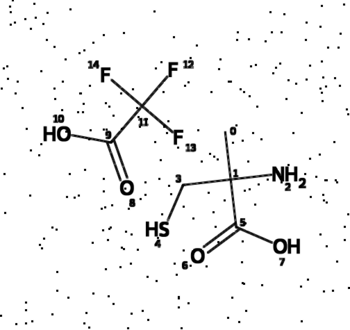 CC(N)(CS)C(=O)O.O=C(O)C(F)(F)F